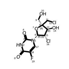 O=c1[nH]c(=O)n([C@@H]2O[C@@](CO)(CCl)[C@@H](O)[C@@H]2Cl)cc1F